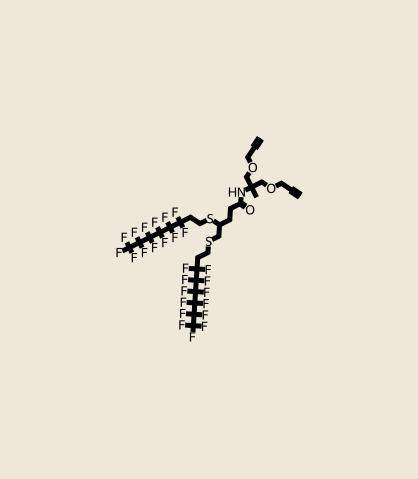 C#CCOCC(C)(COCC#C)NC(=O)CCC(CSCCC(F)(F)C(F)(F)C(F)(F)C(F)(F)C(F)(F)C(F)(F)F)SCCC(F)(F)C(F)(F)C(F)(F)C(F)(F)C(F)(F)C(F)(F)F